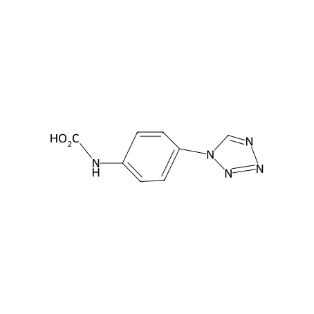 O=C(O)Nc1ccc(-n2cnnn2)cc1